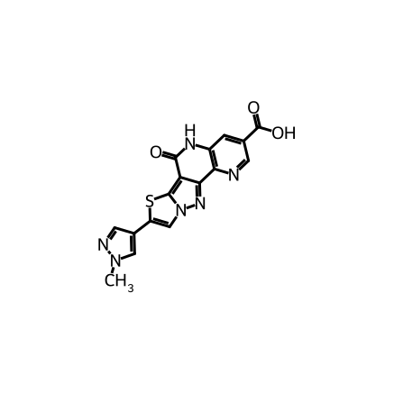 Cn1cc(-c2cn3nc4c5ncc(C(=O)O)cc5[nH]c(=O)c4c3s2)cn1